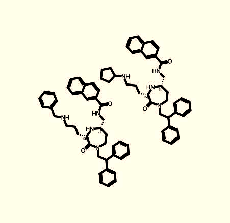 O=C(NC[C@@H]1CCN(CC(c2ccccc2)c2ccccc2)C(=O)[C@H](CCCNC2CCCC2)N1)c1ccc2ccccc2c1.O=C(NC[C@@H]1CCN(CC(c2ccccc2)c2ccccc2)C(=O)[C@H](CCCNCc2ccccc2)N1)c1ccc2ccccc2c1